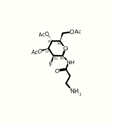 CC(=O)OC[C@H]1O[C@@H](NC(=O)CCN)[C@@H](F)[C@@H](OC(C)=O)[C@@H]1OC(C)=O